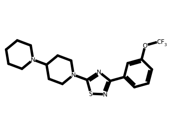 FC(F)(F)Oc1cccc(-c2nsc(N3CCC(N4CCCCC4)CC3)n2)c1